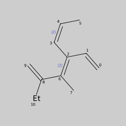 C=CC(/C=C\C)=C(\C)C(=C)CC